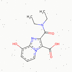 CCN(CC)C(=O)c1nc2c(O)cccn2c1C(=O)O